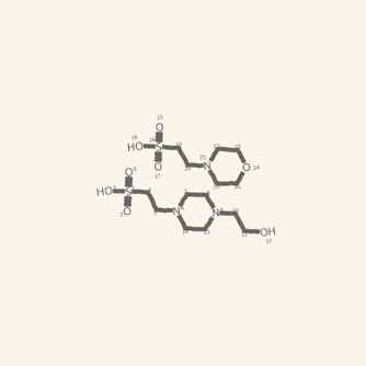 O=S(=O)(O)CCN1CCN(CCO)CC1.O=S(=O)(O)CCN1CCOCC1